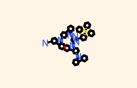 N#Cc1ccc2c(c1)c1ccccc1n2-c1ccc2c3ccccc3n(-c3cc(-n4c5ccccc5c5cc(-n6c7ccccc7c7ccccc76)ccc54)nc(-c4cccc(S(c5ccccc5)(c5ccccc5)c5ccccc5)c4)n3)c2c1